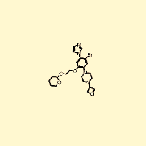 Brc1cc(N2CCN(C3COC3)CC2)c(OCCOC2CCCCO2)cc1-n1ccnc1